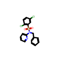 O=S(=O)(c1cc(Cl)ccc1Cl)N(Cc1ccccc1)c1ccccn1